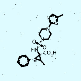 Cc1cnc(N2CCN(S(=O)(=O)N[C@@]3(C(=O)O)C(C)[C@@H]3c3ccccc3)CC2)s1